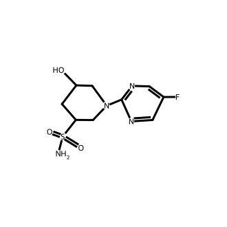 NS(=O)(=O)C1CC(O)CN(c2ncc(F)cn2)C1